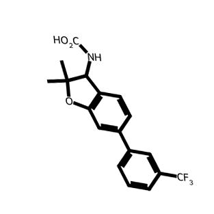 CC1(C)Oc2cc(-c3cccc(C(F)(F)F)c3)ccc2C1NC(=O)O